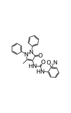 Cc1c(NC(=O)Nc2ccccc2[N+](=O)[O-])c(=O)n(-c2ccccc2)n1-c1ccccc1